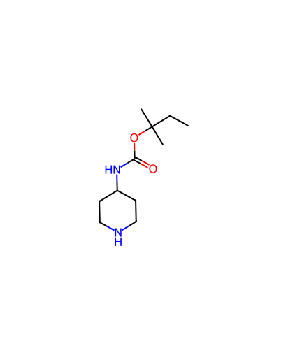 CCC(C)(C)OC(=O)NC1CCNCC1